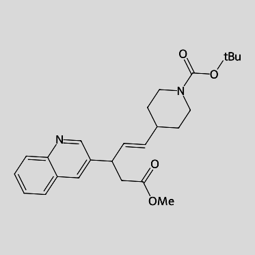 COC(=O)CC(/C=C/C1CCN(C(=O)OC(C)(C)C)CC1)c1cnc2ccccc2c1